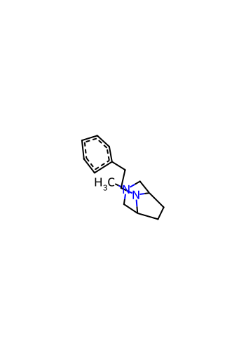 CN1CC2CCC(C1)N2CCc1ccccc1